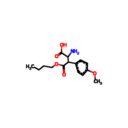 CCCCOC(=O)C(c1ccc(OC)cc1)C(N)C(=O)O